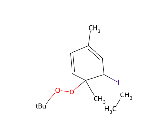 CC.CC1=CC(I)C(C)(OOC(C)(C)C)C=C1